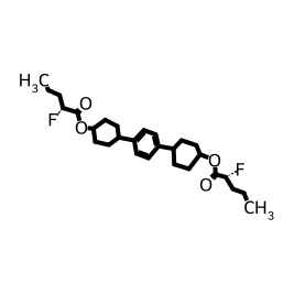 CCC[C@@H](F)C(=O)OC1CCC(c2ccc(C3CCC(OC(=O)[C@H](F)CCC)CC3)cc2)CC1